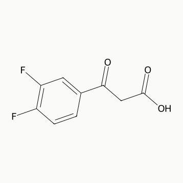 O=C(O)CC(=O)c1ccc(F)c(F)c1